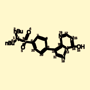 CCCCN(CCCC)S(=O)(=O)c1ccc(-c2cnn3c(O)ncnc23)cc1